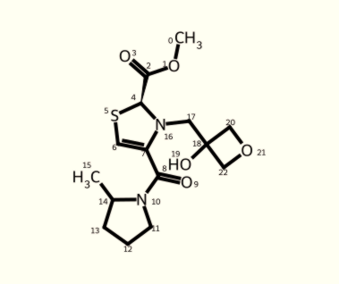 COC(=O)[C@@H]1SC=C(C(=O)N2CCCC2C)N1CC1(O)COC1